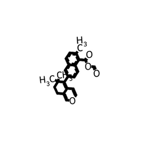 Cc1ccc2cc(C3=C4C=COC=C4CCC3(C)C)ccc2c1C(=O)OC=O